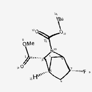 COC(=O)[C@H]1[C@H]2CC([C@H](F)C2)N1C(=O)OC(C)(C)C